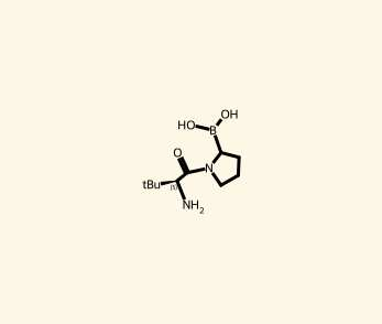 CC(C)(C)[C@H](N)C(=O)N1CCCC1B(O)O